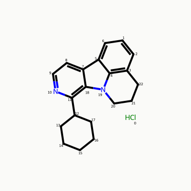 Cl.c1cc2c3c(c1)c1ccnc(C4CCCCC4)c1n3CCC2